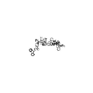 CC[C@H](C)[C@@H](C(CC(=O)N1CCC[C@H]1[C@H](OC)[C@@H](C)C(=O)N[C@@H](Cc1ccccc1)C(=O)OC(C)(C)C)OC)N(C)C(=O)[C@@H](NC(=O)[C@H](C(C)C)N1CCCN(C(=O)OCC2c3ccccc3-c3ccccc32)CC1)C(C)C